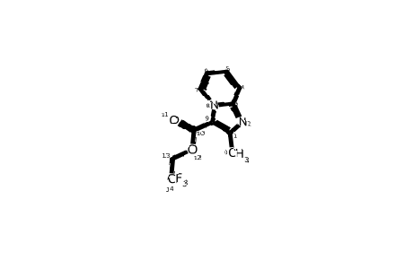 Cc1nc2ccccn2c1C(=O)OCC(F)(F)F